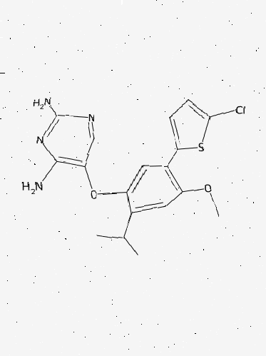 COc1cc(C(C)C)c(Oc2cnc(N)nc2N)cc1-c1ccc(Cl)s1